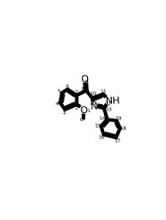 COc1ccccc1C(=O)c1c[nH]c(-c2ccccc2)n1